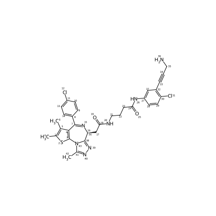 Cc1sc2c(c1C)C(c1ccc(Cl)cc1)=N[C@@H](CC(=O)NCCCC(=O)Nc1ccc(Cl)c(C#CCN)c1)c1nnc(C)n1-2